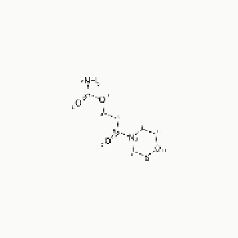 NC(=O)OCCC(=O)N1CCOCC1